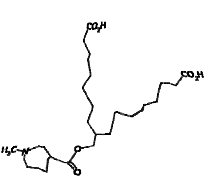 CN1CCC(C(=O)OCC(CCCCCCCC(=O)O)CCCCCCCC(=O)O)C1